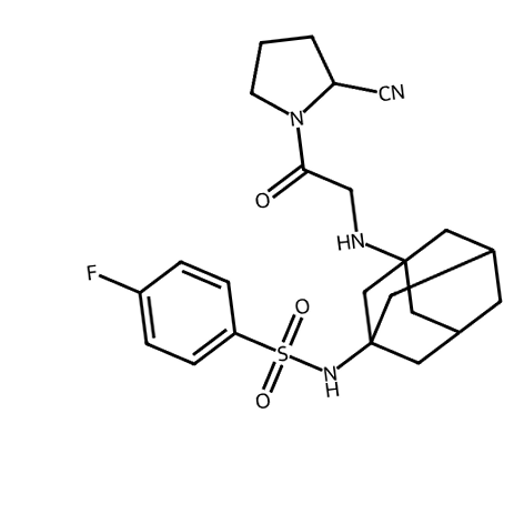 N#CC1CCCN1C(=O)CNC12CC3CC(C1)CC(NS(=O)(=O)c1ccc(F)cc1)(C3)C2